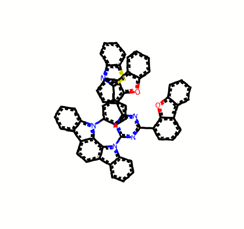 c1cc(-c2nc3ccccc3s2)cc(-n2c3ccccc3c3ccc4c5ccccc5n(-c5nc(-c6cccc7c6oc6ccccc67)nc(-c6cccc7c6oc6ccccc67)n5)c4c32)c1